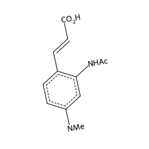 CNc1ccc(C=CC(=O)O)c(NC(C)=O)c1